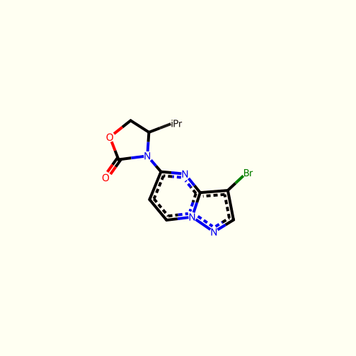 CC(C)C1COC(=O)N1c1ccn2ncc(Br)c2n1